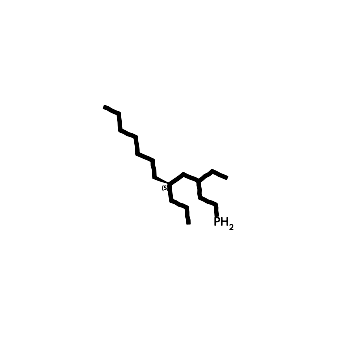 CCCCCCC[C@H](CCC)CC(CC)CCP